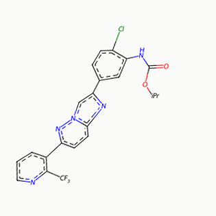 CC(C)OC(=O)Nc1cc(-c2cn3nc(-c4cccnc4C(F)(F)F)ccc3n2)ccc1Cl